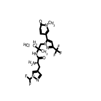 Cl.Cn1cc(-c2cc(C(F)(F)F)nn2CC(C)(C)NC(=O)[C@H](N)Cc2cnn(C(F)F)c2)ccc1=O